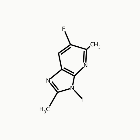 Cc1nc2c(cc1F)nc(C)n2I